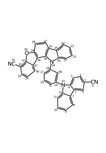 N#Cc1ccc2c(c1)c1ccccc1n2-c1cccc(-n2c3ccccc3c3ccc4oc5c(C#N)cccc5c4c32)c1